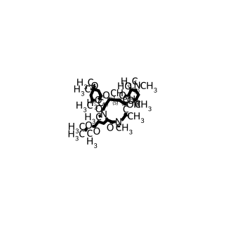 CO[C@]1(C)C[C@H](O[C@H]2[C@H](C)[C@@H](O[C@@H]3O[C@H](C)C[C@H](N(C)C)[C@H]3O)[C@](C)(O)C[C@@H](C)CN(C)C(=O)C(CCC(=O)OC(C)(C)C)N(C)C(=O)[C@@H]2C)O[C@@H](C)C1